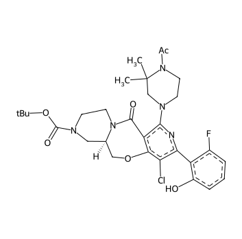 CC(=O)N1CCN(c2nc(-c3c(O)cccc3F)c(Cl)c3c2C(=O)N2CCN(C(=O)OC(C)(C)C)C[C@@H]2CO3)CC1(C)C